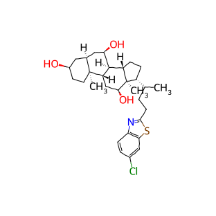 CC(CCc1nc2ccc(Cl)cc2s1)[C@H]1CC[C@H]2[C@@H]3[C@H](O)C[C@@H]4C[C@H](O)CC[C@]4(C)[C@H]3C[C@H](O)[C@]12C